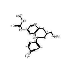 CC(=O)NCC1Cc2ncc(NC(=O)OC(C)(C)C)cc2N(c2ccc(C(F)(F)F)cc2)C1